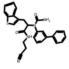 N#CCCNC(=O)C(Cc1csc2ccccc12)N(C(N)=O)c1cccc(-c2ccccc2)c1